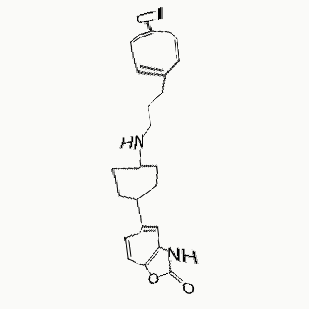 O=c1[nH]c2cc(C3CCC(NCCCc4ccc(Cl)cc4)CC3)ccc2o1